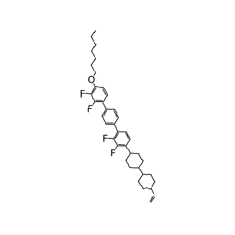 C=CC1CCC(C2CCC(c3ccc(-c4ccc(-c5ccc(OCCCCCCC)c(F)c5F)cc4)c(F)c3F)CC2)CC1